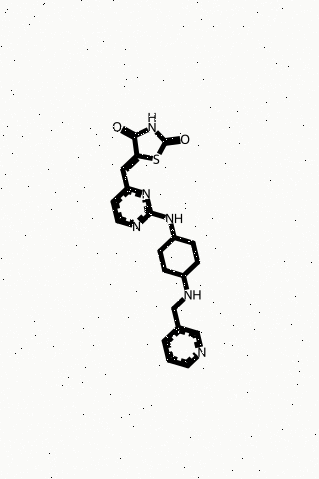 O=C1NC(=O)C(=Cc2ccnc(NC3CCC(NCc4cccnc4)CC3)n2)S1